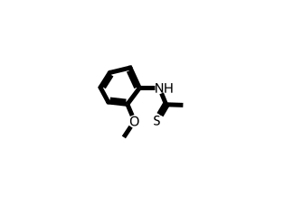 COc1ccccc1NC(C)=S